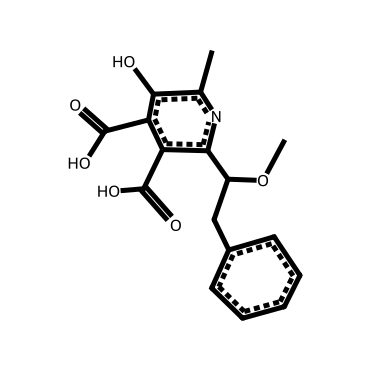 COC(Cc1ccccc1)c1nc(C)c(O)c(C(=O)O)c1C(=O)O